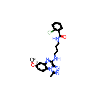 Cc1nnc2c(NCCCCNC(=O)c3ccccc3Cl)nc3cc(OC(F)(F)F)ccc3n12